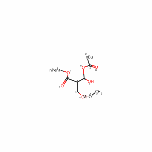 CCCCCOC(=O)C(CO)C(O)OC(=O)CCCC.COC